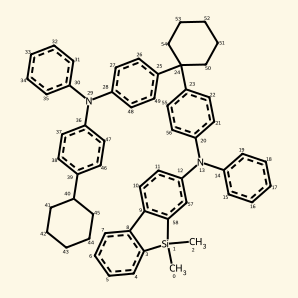 C[Si]1(C)c2ccccc2-c2ccc(N(c3ccccc3)c3ccc(C4(c5ccc(N(c6ccccc6)c6ccc(C7CCCCC7)cc6)cc5)CCCCC4)cc3)cc21